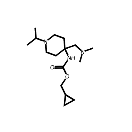 CC(C)N1CCC(CN(C)C)(NC(=O)OCC2CC2)CC1